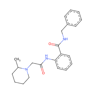 CC1CCCCN1CC(=O)Nc1ccccc1C(=O)NCc1ccccc1